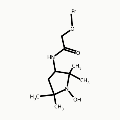 CC(C)OCC(=O)NC1CC(C)(C)N(O)C1(C)C